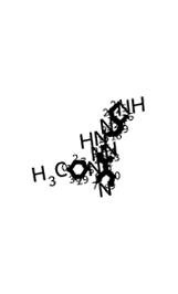 CC1CCC(n2c3cnccc3c3cnc(Nc4ccc5c(n4)CCNC5)nc32)CC1